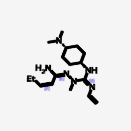 C=C/N=C(/N[C@H]1CC[C@H](N(C)C)CC1)N(C)/N=C(N)\C=C/CC